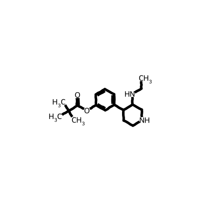 CCNC1CNCCC1c1cccc(OC(=O)C(C)(C)C)c1